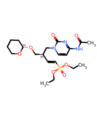 CCOP(=O)(C=C[C@@H](CO[C@H]1CCCCO1)Cn1ccc(NC(C)=O)nc1=O)OCC